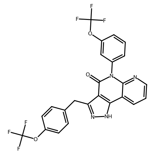 O=c1c2c(Cc3ccc(OC(F)(F)F)cc3)n[nH]c2c2cccnc2n1-c1cccc(OC(F)(F)F)c1